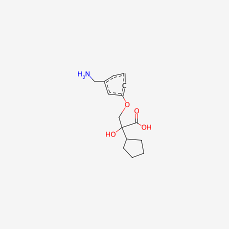 NCc1cccc(OCC(O)(C(=O)O)C2CCCC2)c1